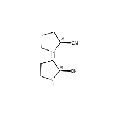 N#C[C@@H]1CCCN1.N#C[C@@H]1CCCN1